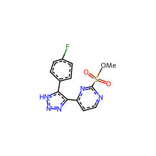 COS(=O)(=O)c1nccc(-c2nn[nH]c2-c2ccc(F)cc2)n1